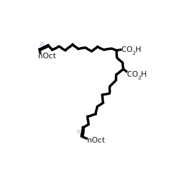 CCCCCCCC/C=C\CCCCCCCCCCC(CCC(CCCCCCCCCC/C=C\CCCCCCCC)C(=O)O)C(=O)O